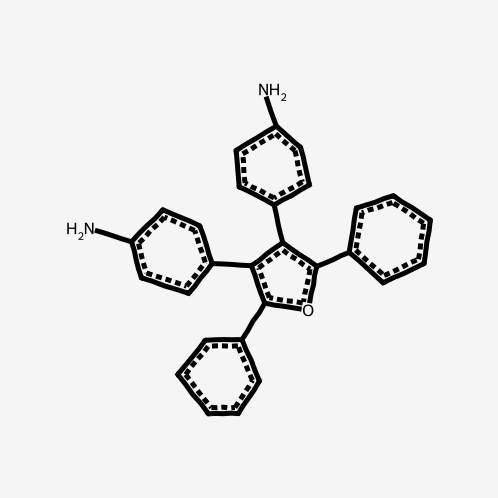 Nc1ccc(-c2c(-c3ccccc3)oc(-c3ccccc3)c2-c2ccc(N)cc2)cc1